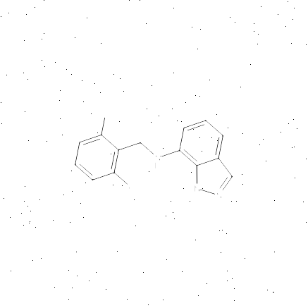 Clc1cccc(Cl)c1CNc1cccc2cn[nH]c12